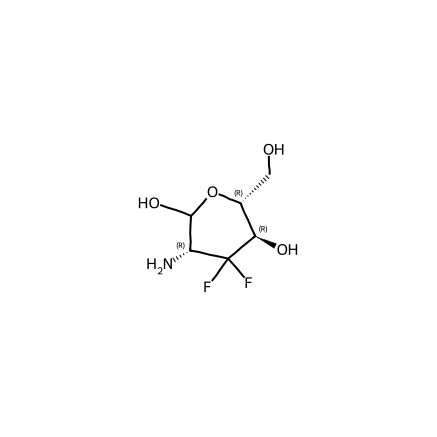 N[C@@H]1C(O)O[C@H](CO)[C@@H](O)C1(F)F